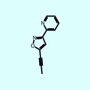 CC#Cc1cc(-c2ccccn2)no1